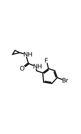 O=C(NCc1ccc(Br)cc1F)NC1CC1